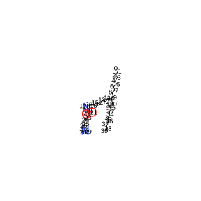 CCCCCCCCCCC(=CCCCCCCN(C)C(=O)OCCCCN(C)C)CCCCCCCCCC